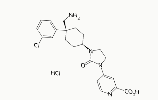 Cl.NC[C@]1(c2cccc(Cl)c2)CC[C@H](N2CCN(c3ccnc(C(=O)O)c3)C2=O)CC1